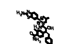 Cc1cc([C@H](Cc2ccccc2)[C@@H](O)C(N)N(CC(C)C)S(=O)(=O)c2ccc3nc(N)sc3c2)ccc1C(N)=O